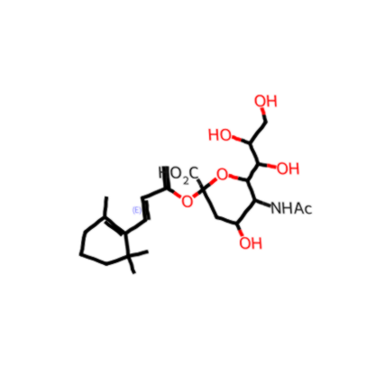 C=C(/C=C/C1=C(C)CCCC1(C)C)OC1(C(=O)O)CC(O)C(NC(C)=O)C(C(O)C(O)CO)O1